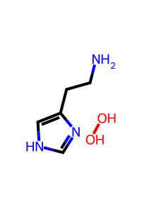 NCCc1c[nH]cn1.OO